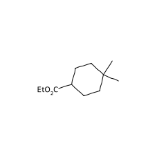 CCOC(=O)C1CCC(C)(C)CC1